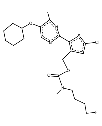 Cc1nc(-c2sc(Cl)cc2COC(=O)N(C)CCCCF)ncc1OC1CCCCC1